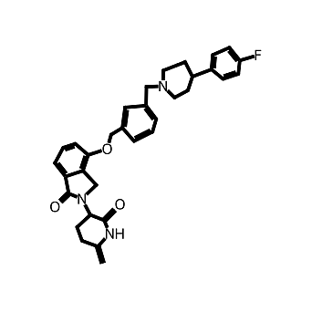 C=C1CCC(N2Cc3c(OCc4cccc(CN5CCC(c6ccc(F)cc6)CC5)c4)cccc3C2=O)C(=O)N1